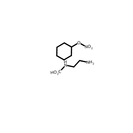 NCCNC(=O)O.O=[N+]([O-])OC1CCCCC1